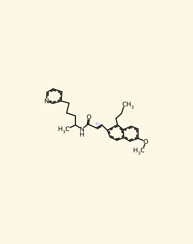 CCCc1c(/C=C/C(=O)NC(C)CCCc2cccnc2)ccc2cc(OC)ccc12